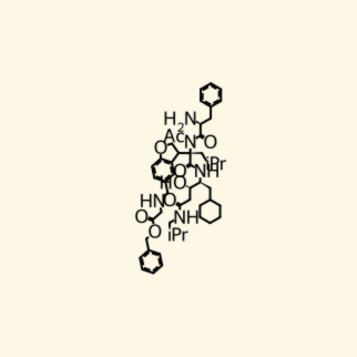 CC(=O)N(C(=O)[C@@H](N)Cc1ccccc1)[C@](CC(C)C)(C(=O)N[C@@H](CC1CCCCC1)[C@@H](O)CC(=O)NCC(C)C)C1COc2ccc(CNCC(=O)OCc3ccccc3)cc21